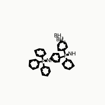 B.B.N=P(c1ccccc1)(c1ccccc1)c1ccccc1.N=P(c1ccccc1)(c1ccccc1)c1ccccc1